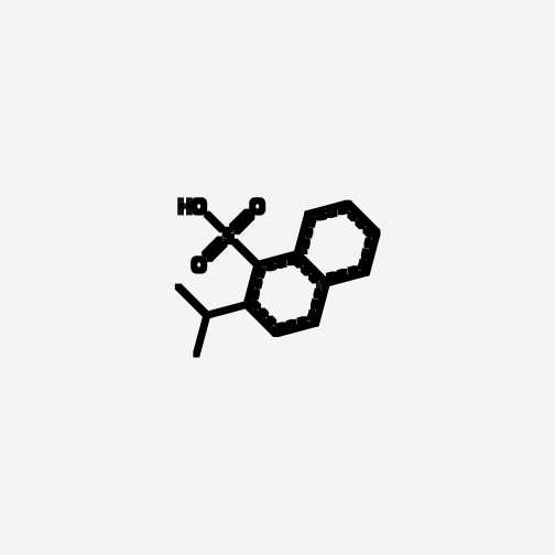 CC(C)c1ccc2ccccc2c1S(=O)(=O)O